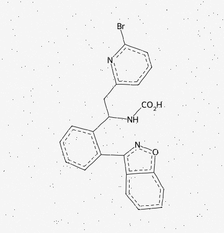 O=C(O)NC(Cc1cccc(Br)n1)c1ccccc1-c1noc2ccccc12